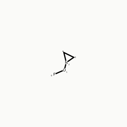 FON1CC1